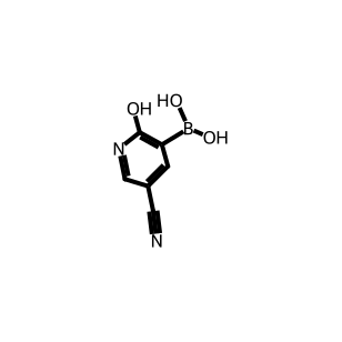 N#Cc1cnc(O)c(B(O)O)c1